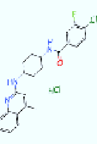 Cc1cc(N[C@H]2CC[C@@H](NC(=O)c3ccc(Cl)c(F)c3)CC2)nc2ccccc12.Cl